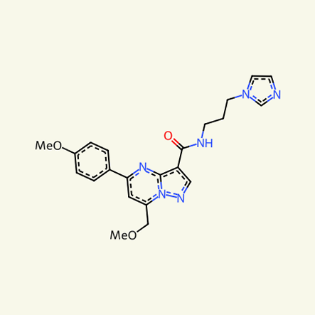 COCc1cc(-c2ccc(OC)cc2)nc2c(C(=O)NCCCn3ccnc3)cnn12